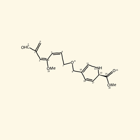 C=C(C=O)/C=C(\C=C/COCC1=CN[C@@H](C(=O)OC)C=C1)OC